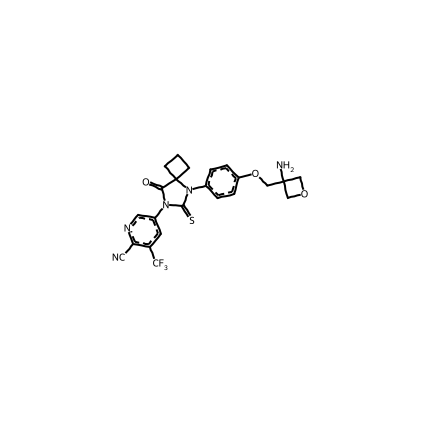 N#Cc1ncc(N2C(=O)C3(CCC3)N(c3ccc(OCC4(N)COC4)cc3)C2=S)cc1C(F)(F)F